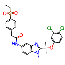 CCS(=O)(=O)c1ccc(CC(=O)Nc2ccc3c(c2)nc(C(C)(C)Oc2ccc(Cl)c(Cl)c2)n3C)cc1